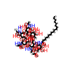 CCCCCC/C=C\CCCCCCCCCC(=O)NC1C(O)[C@@H](O)C(COC(C)=O)O[C@H]1O[C@@H]1C(CO)O[C@@H](O[C@@H]2C(CO)O[C@@H](O[C@@H]3C(CO)O[C@@H](O[C@@H]4C(CO[C@@H]5OC(C)[C@@H](O)C(O)C5OC)O[C@@H](O)[C@@H](NC(C)=O)C4O)C(NC(C)=O)C3O)C(NC(C)=O)C2O)C(NC(C)=O)C1O